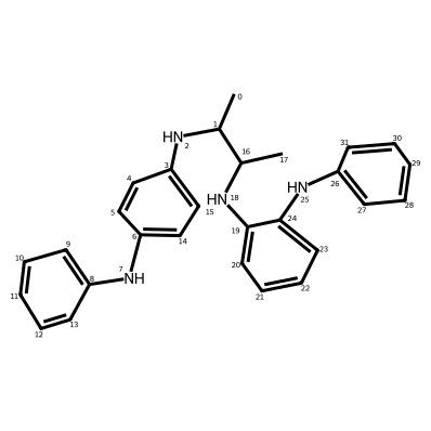 CC(Nc1ccc(Nc2ccccc2)cc1)C(C)Nc1ccccc1Nc1ccccc1